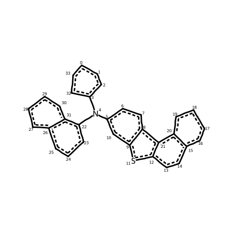 c1ccc(N(c2ccc3c(c2)sc2ccc4ccccc4c23)c2cccc3ccccc23)cc1